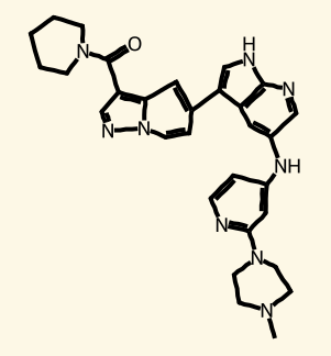 CN1CCN(c2cc(Nc3cnc4[nH]cc(-c5ccn6ncc(C(=O)N7CCCCC7)c6c5)c4c3)ccn2)CC1